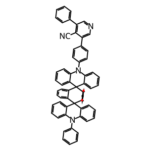 N#Cc1c(-c2ccccc2)cncc1-c1ccc(N2c3ccccc3C3(c4ccccc42)c2ccccc2C2(c4ccccc4N(c4ccccc4)c4ccccc42)c2ccccc23)cc1